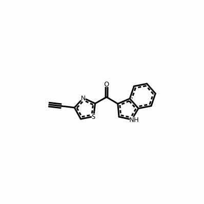 C#Cc1csc(C(=O)c2c[nH]c3ccccc23)n1